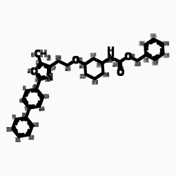 Cc1oc(-c2ccc(-c3ccccc3)cc2)nc1CCOC1CCCC(NC(=O)OCc2[c]cccc2)C1